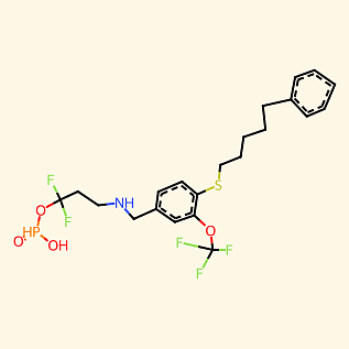 O=[PH](O)OC(F)(F)CCNCc1ccc(SCCCCCc2ccccc2)c(OC(F)(F)F)c1